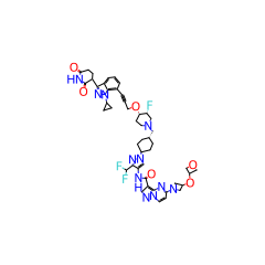 O=C1CCC(c2nn(C3CC3)c3c(C#CCO[C@H]4CCN(C[C@H]5CC[C@H](n6cc(NC(=O)c7cnn8ccc(N9CC(OC%10COC%10)C9)nc78)c(C(F)F)n6)CC5)C[C@H]4F)cccc23)C(=O)N1